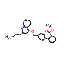 CCCCc1cc(OCc2ccc(-c3ccccc3C(=O)OC)cc2)c2ccccc2n1